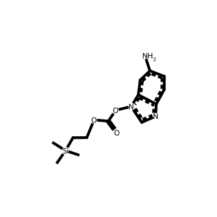 C[Si](C)(C)CCOC(=O)On1cnc2ccc(N)cc21